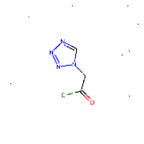 O=C(Cl)Cn1cnnn1